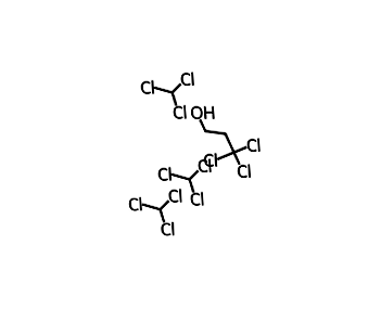 ClC(Cl)Cl.ClC(Cl)Cl.ClC(Cl)Cl.OCCC(Cl)(Cl)Cl